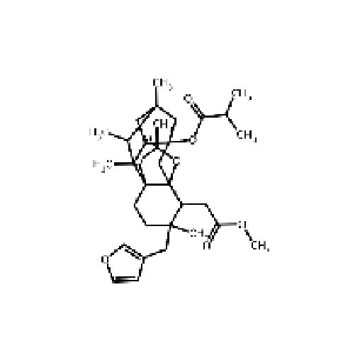 COC(=O)CC1C(C)(Cc2ccoc2)CCC23OC4(C)OC12CC1(OC(=O)C(C)C)CC2(C)CC1(O4)C3(C)C2C